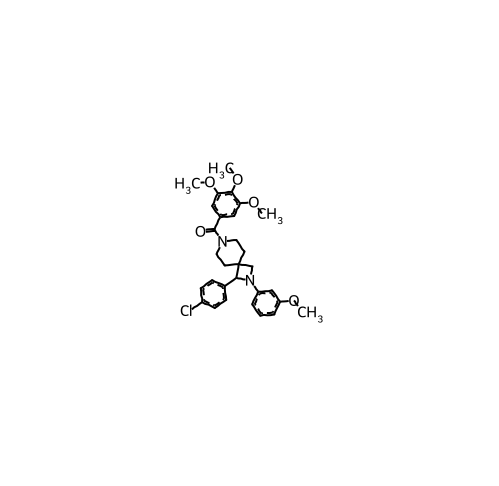 COc1cccc(N2CC3(CCN(C(=O)c4cc(OC)c(OC)c(OC)c4)CC3)C2c2ccc(Cl)cc2)c1